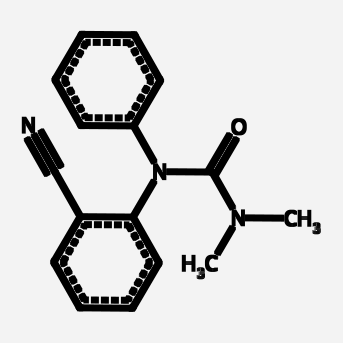 CN(C)C(=O)N(c1ccccc1)c1ccccc1C#N